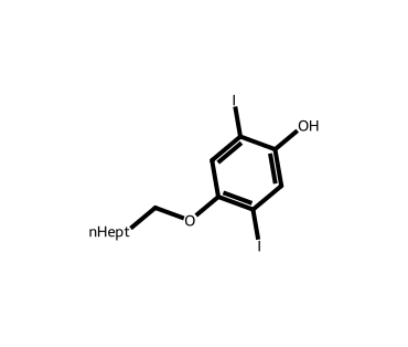 CCCCCCCCOc1cc(I)c(O)cc1I